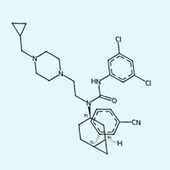 N#Cc1cccc([C@]23CC[C@@H](N(CCN4CCN(CC5CC5)CC4)C(=O)Nc4cc(Cl)cc(Cl)c4)C[C@H]2C3)c1